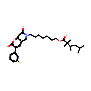 CC(C)CC(C)C(C)(C)C(=O)OCCCCCCCn1cc2cc(-c3cccc(F)c3)c(=O)oc2cc1=O